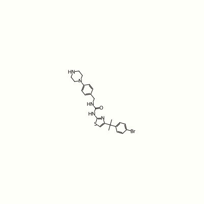 CC(C)(c1ccc(Br)cc1)c1csc(NC(=O)NCc2ccc(N3CCNCC3)cc2)n1